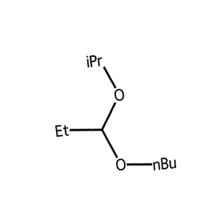 CCCCOC(CC)OC(C)C